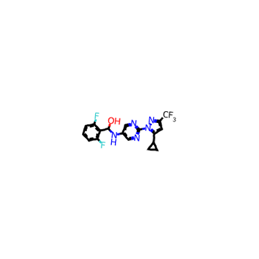 OC(Nc1cnc(-n2nc(C(F)(F)F)cc2C2CC2)nc1)c1c(F)cccc1F